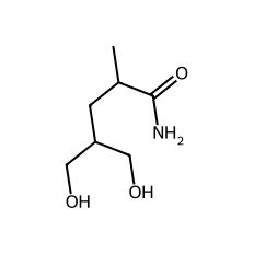 CC(CC(CO)CO)C(N)=O